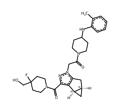 Cc1ccccc1NC1CCN(C(=O)Cn2nc(C(=O)N3CCC(F)(CO)CC3)c3c2C[C@H]2C[C@@H]32)CC1